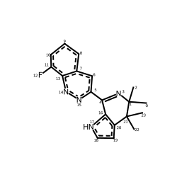 CC1(C)N=C(c2cc3cccc(F)c3nn2)c2[nH]ccc2C1(C)C